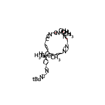 C[C@H](CC[C@@]1(C)c2ccc(cc2)N2CCN(CC2)C2CN(C2)C(C)(C)C(C)(C)N2CC(C2)N2CCC(CC2)c2ccc(cc2)C1(C)C)c1ccc(C2CN(CC3CN(C(C)(C)C)C3)C2)cc1